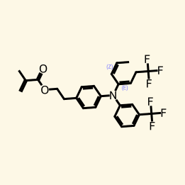 C=C(C)C(=O)OCCc1ccc(N(C(/C=C\C)=C/CC(F)(F)F)c2cccc(C(F)(F)F)c2)cc1